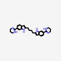 c1cc2cc(CCCCc3cc4ccc(C5=NCCCN5)cc4[nH]3)[nH]c2cc1C1=NCCCN1